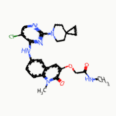 CNC(=O)COc1cc2cc(Nc3nc(N4CCC5(CC4)CC5)ncc3Cl)ccc2n(C)c1=O